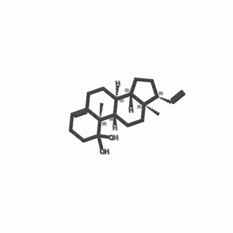 C=C[C@H]1CC[C@H]2[C@@H]3CCC4=CCCC(O)(O)[C@]4(C)[C@H]3CC[C@]12C